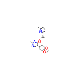 Cc1cccc([C@H]2C[C@@H]2COc2nc(C)ncc2C2CCC3(CC2)OCCO3)n1